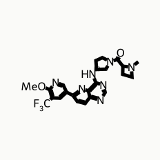 COc1ncc(-c2ccc3ncnc(N[C@H]4CCN(C(=O)C5CCN5C)C4)c3n2)cc1C(F)(F)F